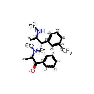 CCN(CC)C(C)C(=O)c1ccccc1.CCNC(C)Cc1cccc(C(F)(F)F)c1